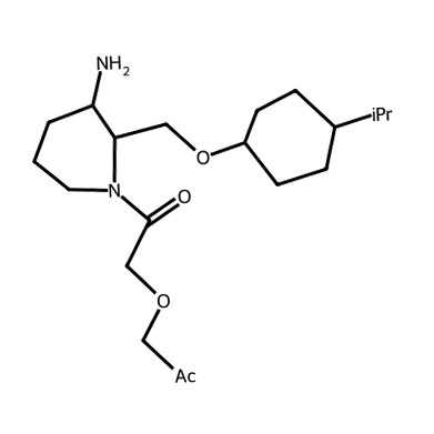 CC(=O)COCC(=O)N1CCCC(N)C1COC1CCC(C(C)C)CC1